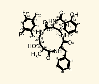 C[C@H]1NC(=O)C(Cc2ccccc2)NC(=O)[C@H](C)[C@H](O)[C@H](Cc2cc(F)c(F)nc2F)NC(=O)[C@H]1NC(=O)c1ccccc1O